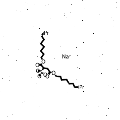 CC(C)CCCCCCCOC(=O)CC(C(=O)OCCCCCCCC(C)C)S(=O)(=O)[O-].[Na+]